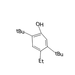 CCc1cc(C(C)(C)C)c(O)cc1C(C)(C)C